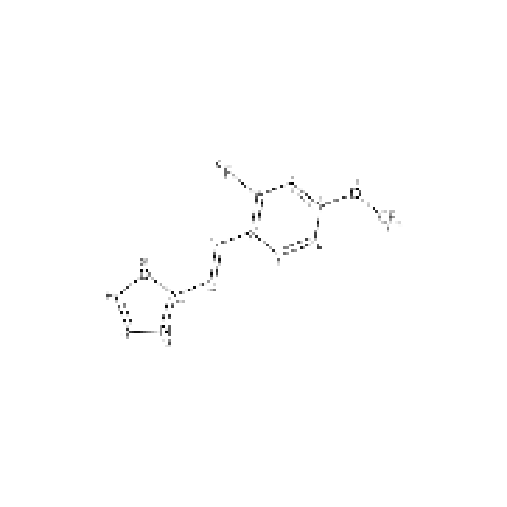 Fc1cc(OC(F)(F)F)ccc1C=Cc1ncco1